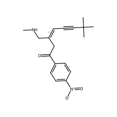 CNC/C(=C/C#CC(C)(C)C)CC(=O)c1ccc([N+](=O)[O-])cc1